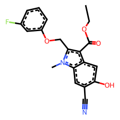 CCOC(=O)c1c(COc2cccc(F)c2)n(C)c2cc(C#N)c(O)cc12